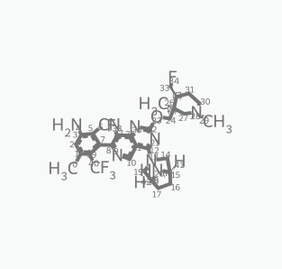 Cc1cc(N)c(C#N)c(-c2ncc3c(N4C[C@H]5CC[C@@H](C4)N5)nc(OC[C@]4(C)CN(C)CC[C@@H]4CF)nc3c2F)c1C(F)(F)F